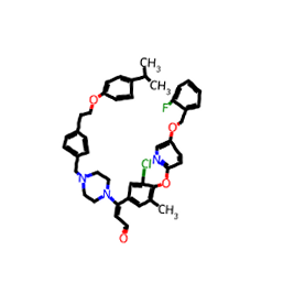 Cc1cc(/C(=C\C=O)N2CCN(Cc3ccc(CCOc4ccc(C(C)C)cc4)cc3)CC2)cc(Cl)c1Oc1ccc(OCc2ccccc2F)cn1